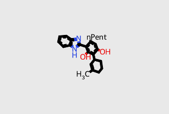 CCCCCc1cc(O)c(C2C=C(C)CCC2)c(O)c1-c1nc2ccccc2[nH]1